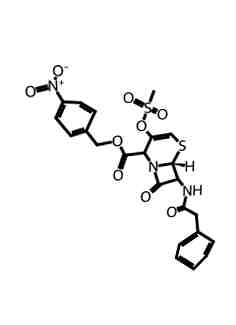 CS(=O)(=O)OC1=CS[C@@H]2C(NC(=O)Cc3ccccc3)C(=O)N2C1C(=O)OCc1ccc([N+](=O)[O-])cc1